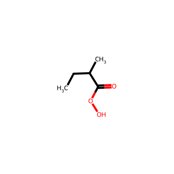 CCC(C)C(=O)OO